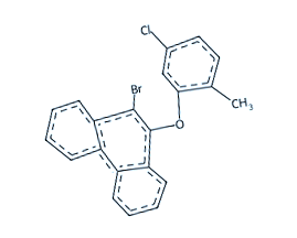 Cc1ccc(Cl)cc1Oc1c(Br)c2ccccc2c2ccccc12